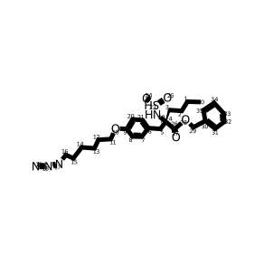 CCCC[C@@](Cc1ccc(OCCCCCCN=[N+]=[N-])cc1)(N[SH](=O)=O)C(=O)OCc1ccccc1